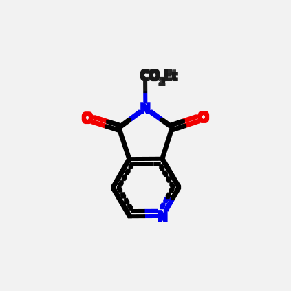 CCOC(=O)N1C(=O)c2ccncc2C1=O